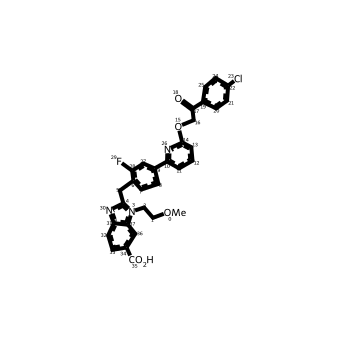 COCCn1c(Cc2ccc(-c3cccc(OCC(=O)c4ccc(Cl)cc4)n3)cc2F)nc2ccc(C(=O)O)cc21